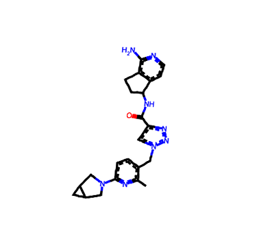 Cc1nc(N2CC3CC3C2)ccc1Cn1cc(C(=O)NC2CCc3c2ccnc3N)nn1